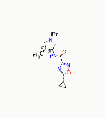 CC(C)N1C[C@H](C)[C@H](NC(=O)c2noc(C3CC3)n2)C1